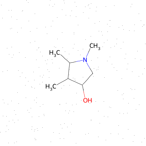 CC1C(O)CN(C)C1C